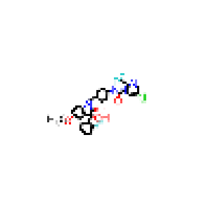 COc1ccc2c(c1)C(O)(c1ccccc1F)C(=O)N2CC1CCC(NC(=O)c2cc(Cl)cnc2C(F)F)CC1